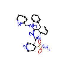 NS(=O)(=O)c1ccncc1C1=NC2=CC=CC(c3ccccc3)C2C(NCc2ccccn2)=N1